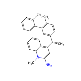 C=C(C1=C2C=CC=CC2N(C)C(N)=C1)c1ccc(C)c(-c2ccccc2C)c1